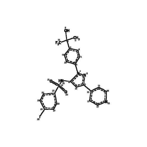 CC(O)(c1ccc(-n2nc(-c3ccncc3)cc2NS(=O)(=O)c2ccc(I)cc2)cc1)C(F)(F)F